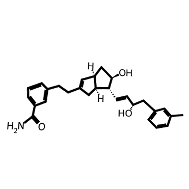 Cc1cccc(C[C@H](O)/C=C/[C@@H]2[C@H]3CC(CCc4cccc(C(N)=O)c4)=C[C@H]3C[C@H]2O)c1